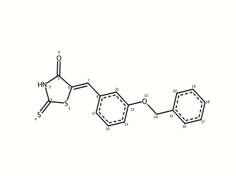 O=C1NC(=S)S/C1=C\c1cccc(OCc2ccccc2)c1